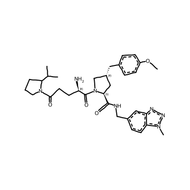 COc1ccc(C[C@@H]2C[C@@H](C(=O)NCc3ccc4c(c3)nnn4C)N(C(=O)[C@H](N)CCC(=O)N3CCCC3C(C)C)C2)cc1